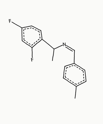 Cc1ccc(/C=N\C(C)c2ccc(F)cc2F)cc1